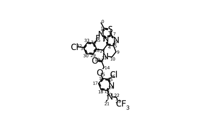 Cc1nn2c3c(nc2s1)CCN(C(=O)COc1ccc(N(C)CC(F)(F)F)nc1Cl)C3c1ccc(Cl)cc1F